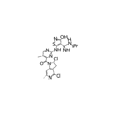 Cc1cc2c(c(Cl)n1)CC(Cl)N2C(=O)c1nc(Nc2snc(O)c2C(=N)NC(C)C)ncc1C